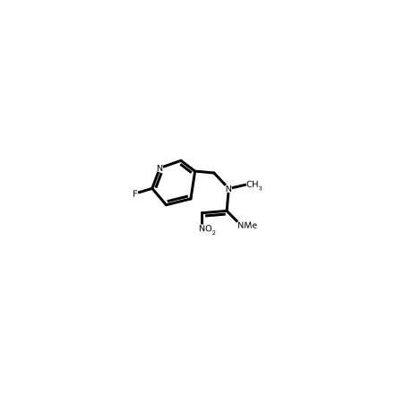 CNC(=C[N+](=O)[O-])N(C)Cc1ccc(F)nc1